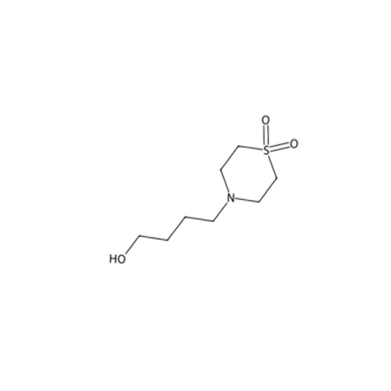 O=S1(=O)CCN(CCCCO)CC1